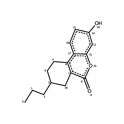 CCCC1CCc2c(c(=O)oc3cc(O)ccc23)C1